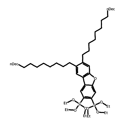 CCCCCCCCCCCCCCCCCCc1cc2oc3cc([Si](OCC)(OCC)OCC)c([Si](OCC)(OCC)OCC)cc3c2cc1CCCCCCCCCCCCCCCCCC